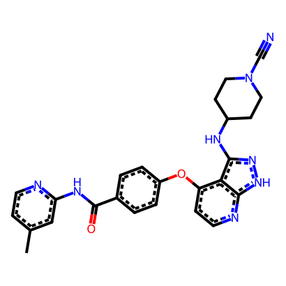 Cc1ccnc(NC(=O)c2ccc(Oc3ccnc4[nH]nc(NC5CCN(C#N)CC5)c34)cc2)c1